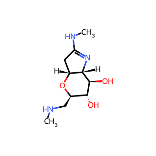 CNC[C@H]1O[C@@H]2CC(NC)=N[C@@H]2[C@@H](O)[C@@H]1O